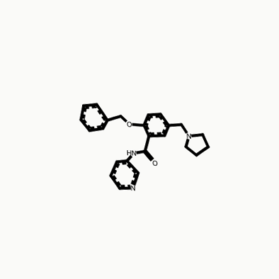 O=C(Nc1cccnc1)c1cc(CN2CCCC2)ccc1OCc1ccccc1